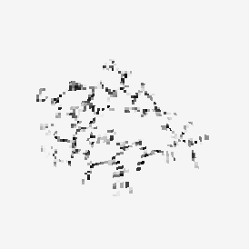 C=Cc1c(/C=C\C)c(C(=O)c2c(C)cc(C)cc2C)cc2c3cc(/C(=N\OC(C)=O)c4ccc(OCC(F)(F)C(F)F)cc4)ccc3n(CC(CC)CCCC)c12